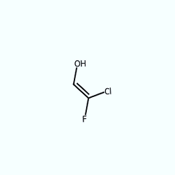 OC=C(F)Cl